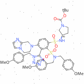 COc1ccc(CN(Cc2ccc(OC)cc2)S(=O)(=O)c2c(S(=O)(=O)N[C@@H]3CCN(C(=O)OC(C)(C)C)C3)ccc(N3CCn4ccnc4C3)c2-c2nnnn2Cc2ccc(OC)cc2)cc1